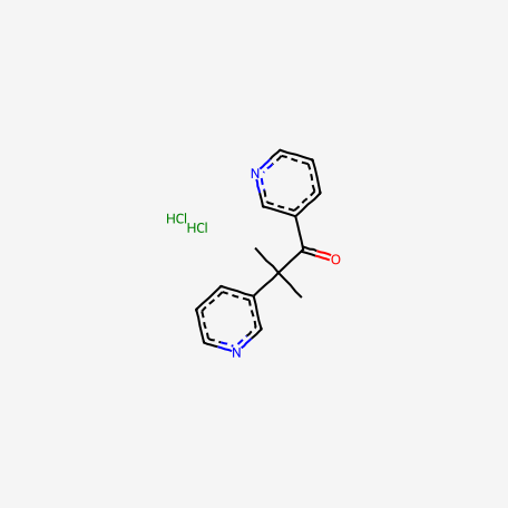 CC(C)(C(=O)c1cccnc1)c1cccnc1.Cl.Cl